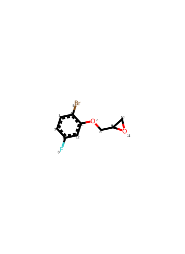 Fc1ccc(Br)c(OCC2CO2)c1